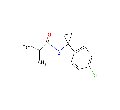 CC(C)C(=O)NC1(c2ccc(Cl)cc2)CC1